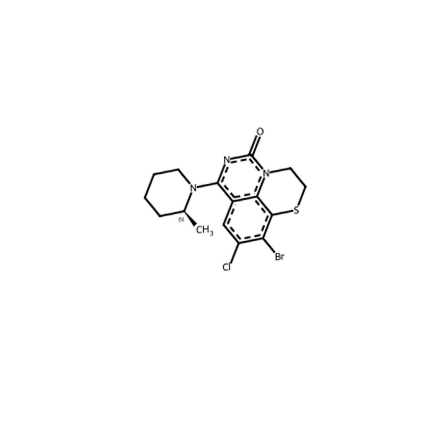 C[C@H]1CCCCN1c1nc(=O)n2c3c(c(Br)c(Cl)cc13)SCC2